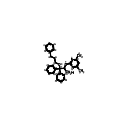 Cc1cc(C)nc(OC(C(=O)O)C(OCCCc2ccccc2)(c2ccccc2)c2ccccc2)n1